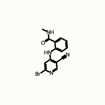 CNC(=O)c1ccccc1Nc1cc(Br)ncc1C#N